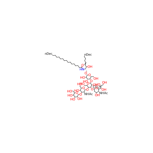 CCCCCCCCCCCCC/C=C/[C@@H](O)[C@H](CO[C@@H]1OC(CO)[C@@H](O[C@@H]2OC(CO)[C@H](O[C@@H]3OC(CO)[C@H](O)[C@H](O[C@@H]4OC(CO)[C@H](O)[C@H](O)C4O)C3NC(C)=O)[C@H](O[C@]3(C(=O)O)CC(O)[C@@H](NC(C)=O)C([C@H](O)[C@H](O)CO)O3)C2O)[C@H](O)C1O)NC(=O)CCCCCCCCCCCCCCCCCCCCCCCCC